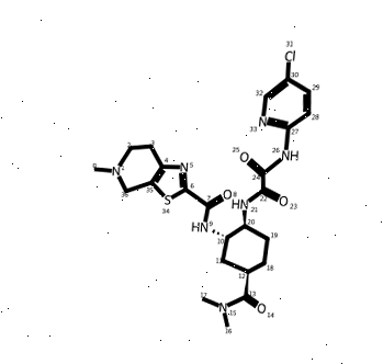 CN1CCc2nc(C(=O)N[C@H]3C[C@H](C(=O)N(C)C)CC[C@@H]3NC(=O)C(=O)Nc3ccc(Cl)cn3)sc2C1